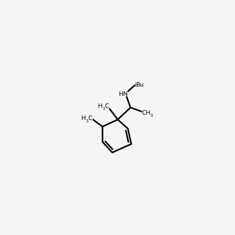 CCC(C)NC(C)C1(C)C=CC=CC1C